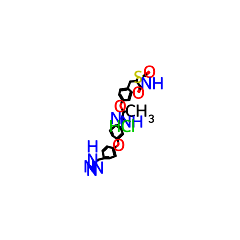 CC(Oc1ccc(CC2SC(=O)NC2=O)cc1)c1nc2ccc(Oc3ccc(-c4nnn[nH]4)cc3)cc2[nH]1.Cl